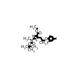 CCOC(=O)c1nc(N(C)C(=O)OC(C)(C)C)sc1CC(C)COc1ccc(I)cc1F